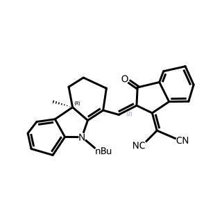 CCCCN1C2=C(/C=C3\C(=O)c4ccccc4C3=C(C#N)C#N)CCC[C@]2(C)c2ccccc21